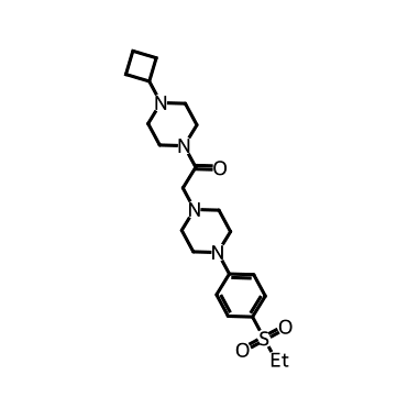 CCS(=O)(=O)c1ccc(N2CCN(CC(=O)N3CCN(C4CCC4)CC3)CC2)cc1